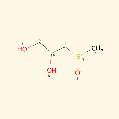 C[S+]([O-])CC(O)CO